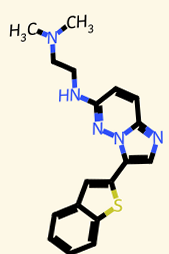 CN(C)CCNc1ccc2ncc(-c3cc4ccccc4s3)n2n1